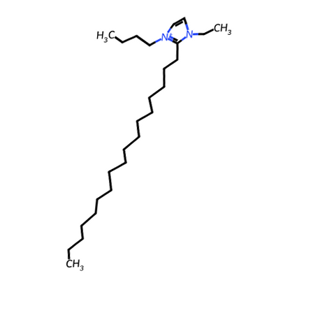 CCCCCCCCCCCCCCCCCc1n(CC)cc[n+]1CCCC